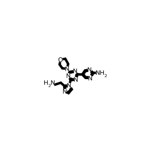 NCCc1nccn1-c1nc(-c2cnc(N)nc2)nc(N2CCOCC2)n1